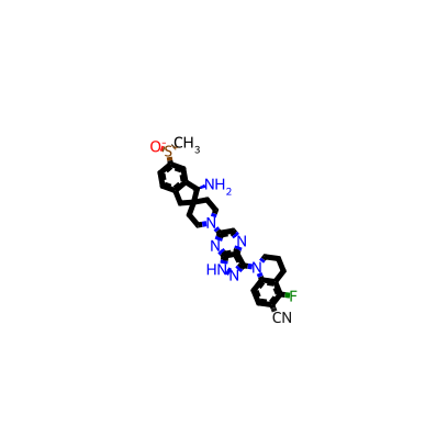 C[S+]([O-])c1ccc2c(c1)[C@@H](N)C1(CCN(c3cnc4c(N5CCCc6c5ccc(C#N)c6F)n[nH]c4n3)CC1)C2